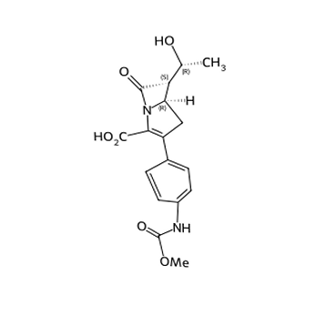 COC(=O)Nc1ccc(C2=C(C(=O)O)N3C(=O)[C@H]([C@@H](C)O)[C@H]3C2)cc1